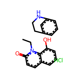 CCn1c(=O)ccc2cccc(O)c21.Cl.c1cc2cc(c1)NCC2